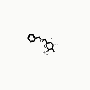 CC1C(O)OC(COCc2ccccc2)[C@H](C)[C@@H]1C